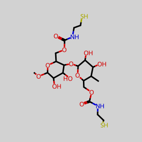 COC1OC(COC(=O)NCCS)C(OC2OC(COC(=O)NCCS)C(C)C(O)C2O)C(O)C1O